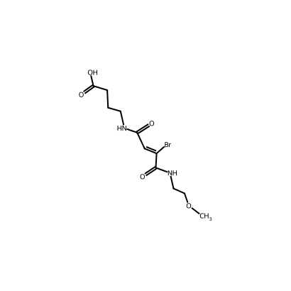 COCCNC(=O)C(Br)=CC(=O)NCCCC(=O)O